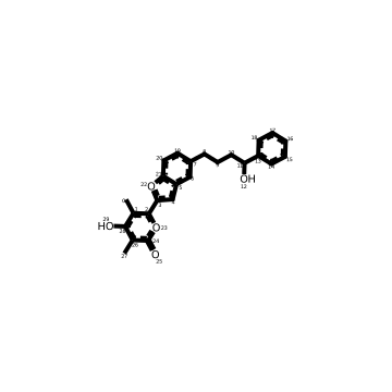 Cc1c(-c2cc3cc(CCCC(O)c4ccccc4)ccc3o2)oc(=O)c(C)c1O